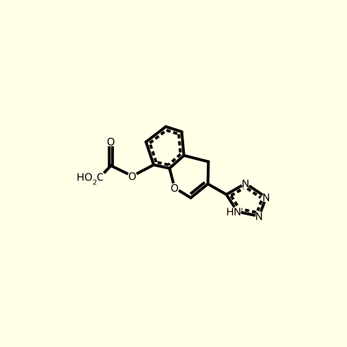 O=C(O)C(=O)Oc1cccc2c1OC=C(c1nnn[nH]1)C2